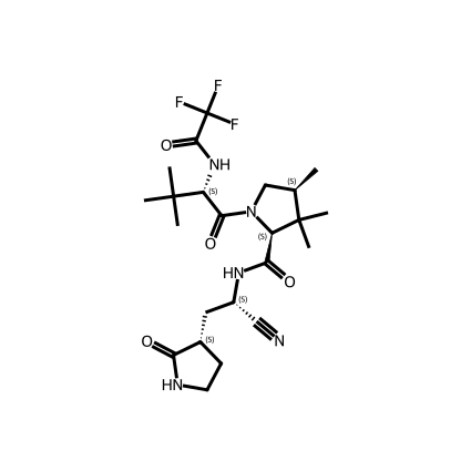 C[C@@H]1CN(C(=O)[C@@H](NC(=O)C(F)(F)F)C(C)(C)C)[C@H](C(=O)N[C@H](C#N)C[C@@H]2CCNC2=O)C1(C)C